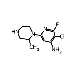 CC1CNCCN1c1cc(N)c(Cl)c(F)n1